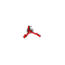 C[N+](C)(C)CCOP(=O)([O-])OC[C@@H](COC(=O)CCCCCCCC1CC2C1C1C3C4CCC4C3C21)OCCCCCCCCC1CCC2C(C1)C1C3CCC3C21